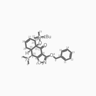 CN(C)[C@@H]1c2onc(OCc3ccccc3)c2C(=O)C2(O[Si](C)(C)C(C)(C)C)C(=O)C=CC[C@@H]12